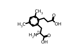 Cc1cc(C)c(CCC(=O)O)c(C[C@H](N)C(=O)O)c1